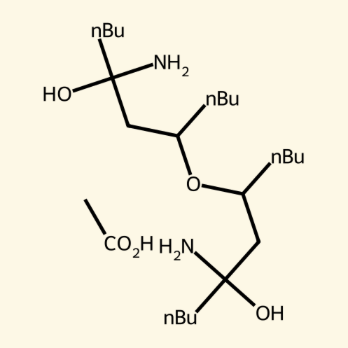 CC(=O)O.CCCCC(CC(N)(O)CCCC)OC(CCCC)CC(N)(O)CCCC